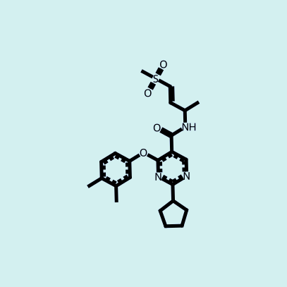 Cc1ccc(Oc2nc(C3CCCC3)ncc2C(=O)NC(C)C=CS(C)(=O)=O)cc1C